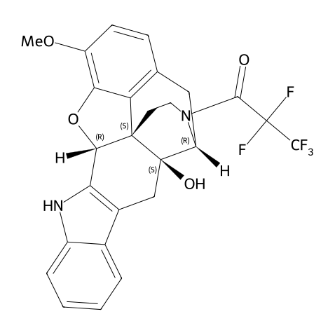 COc1ccc2c3c1O[C@H]1c4[nH]c5ccccc5c4C[C@@]4(O)[C@@H](C2)N(C(=O)C(F)(F)C(F)(F)F)CC[C@]314